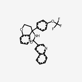 O=C(NC1(c2ccc(OC(F)(F)F)cc2)CCOc2cccnc21)c1cnc2ccccc2c1